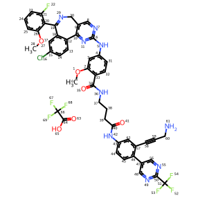 COc1cc(Nc2ncc3c(n2)-c2ccc(Cl)cc2C(c2c(F)cccc2OC)=NC3)ccc1C(=O)NCCCC(=O)Nc1ccc(-c2cnc(C(F)(F)F)nc2)c(C#CCN)c1.O=C(O)C(F)(F)F